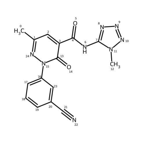 Cc1cc(C(=O)Nc2nnnn2C)c(=O)n(-c2cccc(C#N)c2)n1